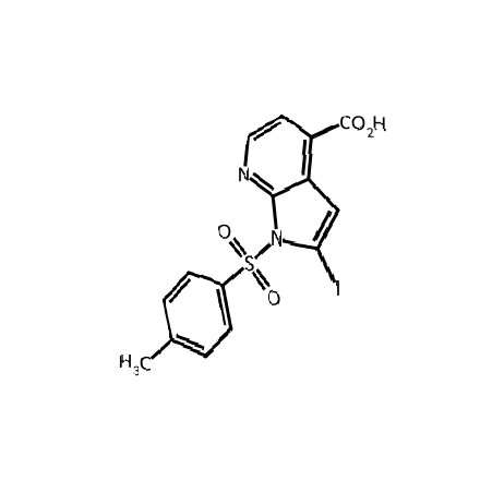 Cc1ccc(S(=O)(=O)n2c(I)cc3c(C(=O)O)ccnc32)cc1